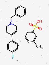 Cc1cccc(S(=O)(=O)O)c1.Fc1ccc(C2=CCN(Cc3ccccc3)CC2)cc1